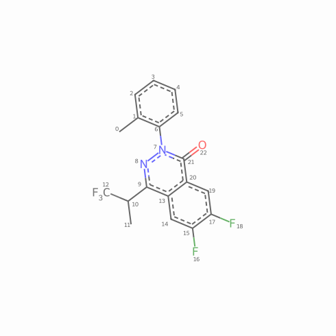 Cc1ccccc1-n1nc(C(C)C(F)(F)F)c2cc(F)c(F)cc2c1=O